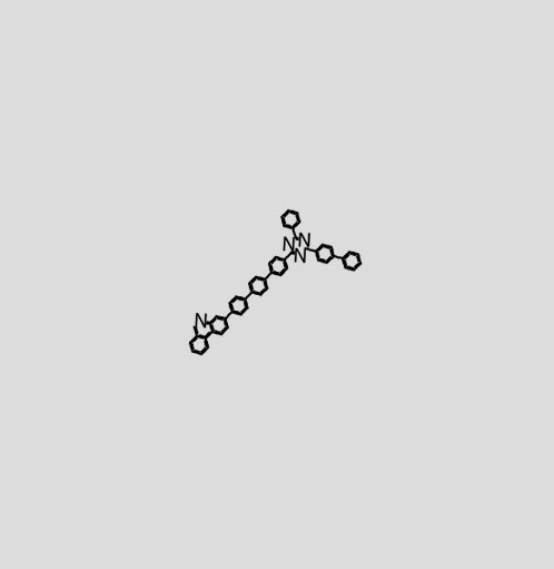 c1ccc(-c2ccc(-c3nc(-c4ccccc4)nc(-c4ccc(-c5ccc(-c6ccc(-c7ccc8c(c7)ncc7ccccc78)cc6)cc5)cc4)n3)cc2)cc1